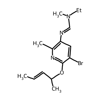 C/C=C/C(C)Oc1nc(C)c(/N=C/N(C)CC)cc1Br